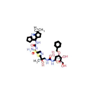 CC1(C)CCc2c1nc1c(c2NC(=O)N=S(N)(=O)c2cnc([C@](C)(O)CNC(=O)NC3O[C@H](CO)[C@@H](O)[C@H](OCc4ccccc4)[C@H]3O)s2)CCC1